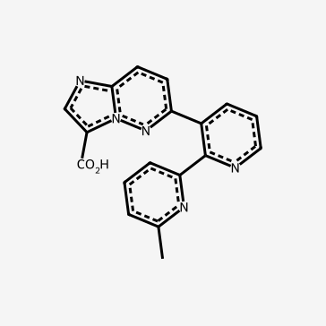 Cc1cccc(-c2ncccc2-c2ccc3ncc(C(=O)O)n3n2)n1